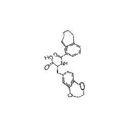 O=C(N[C@@H](Cc1ccc2c(c1)OCCO2)C(=O)O)c1cccc2c1CCCC2